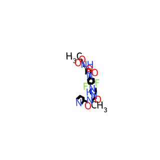 COC(=O)NC[C@H]1CN(c2cc(F)c(N3CCN(C(=O)[C@H](C)NC(=O)c4cccnc4)CC3)c(F)c2)C(=O)O1